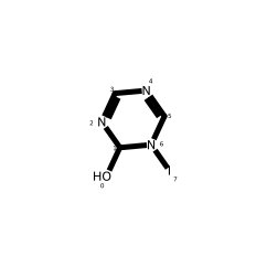 OC1N=CN=CN1I